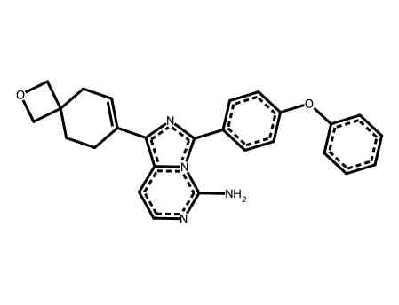 Nc1nccc2c(C3=CCC4(CC3)COC4)nc(-c3ccc(Oc4ccccc4)cc3)n12